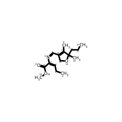 CC/C=C(/N=C\C1=C(C)C(C)(CCC)OC1)C(=O)OC